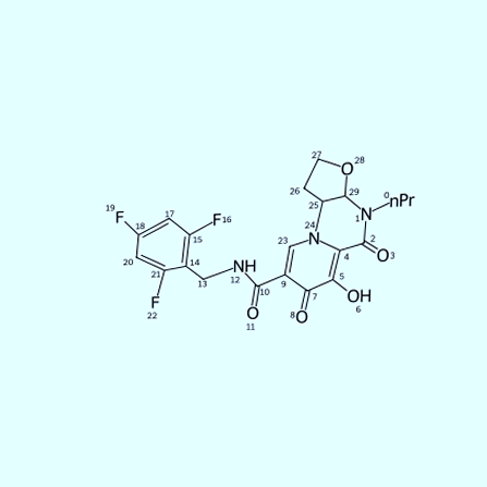 CCCN1C(=O)c2c(O)c(=O)c(C(=O)NCc3c(F)cc(F)cc3F)cn2C2CCOC21